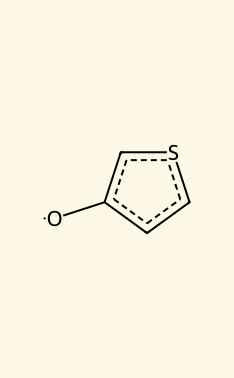 [O]c1ccsc1